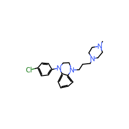 CN1CCN(CCCN2CCN(c3ccc(Cl)cc3)c3ccccc32)CC1